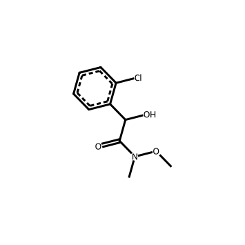 CON(C)C(=O)C(O)c1ccccc1Cl